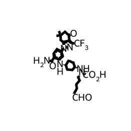 CC1(C)CC(=O)c2c(C(F)(F)F)nn(-c3ccc(C(N)=O)c(N[C@H]4CC[C@H](NN(CCCCCC=O)C(=O)O)CC4)c3)c2C1